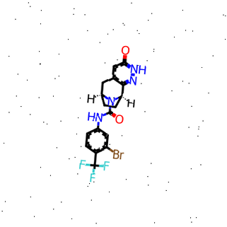 O=C(Nc1ccc(C(F)(F)F)c(Br)c1)N1[C@H]2CC[C@@H]1c1n[nH]c(=O)cc1C2